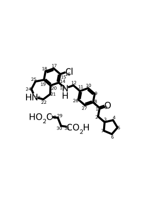 O=C(CC1CCCC1)c1ccc(CNc2c(Cl)ccc3c2CCNCC3)cc1.O=C(O)CCC(=O)O